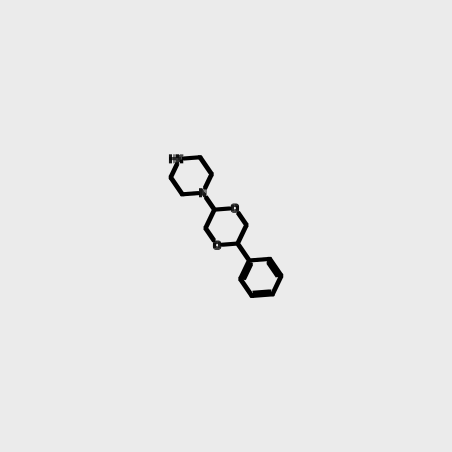 c1ccc(C2COC(N3CCNCC3)CO2)cc1